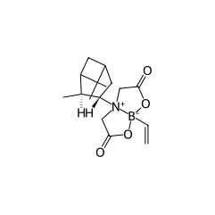 C=C[B-]12OC(=O)C[N+]1([C@H]1CC3CC([C@@H]1C)C3(C)C)CC(=O)O2